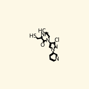 C#CCN(C(=O)C(=N)CS)c1cn(-c2cccnc2)nc1Cl